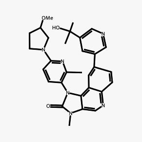 COC1CCN(c2ccc(-n3c(=O)n(C)c4cnc5ccc(-c6cncc(C(C)(C)O)c6)cc5c43)c(C)n2)C1